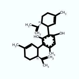 C=C(C)[C@H]1CCC(C)=CC1c1c(C)cc(O)c(C2C=C(C)CC[C@H]2C(=C)C)c1O